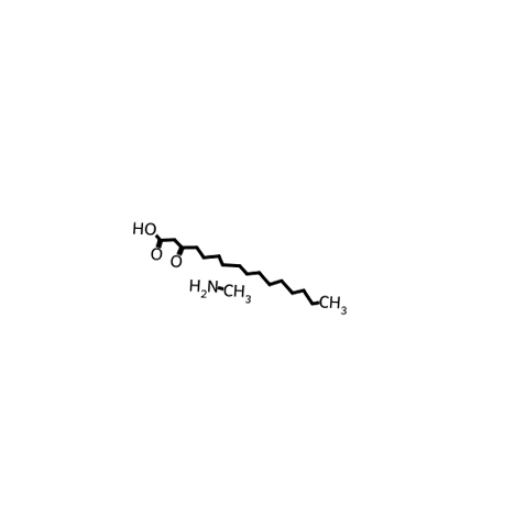 CCCCCCCCCCCCCC(=O)CC(=O)O.CN